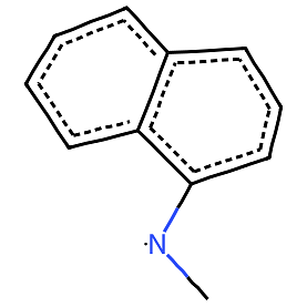 C[N]c1cccc2ccccc12